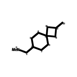 CNCC1CCC2(CC1)CC(C)C2